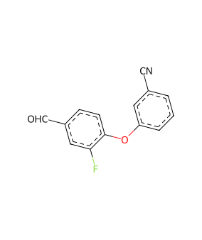 N#Cc1cccc(Oc2ccc(C=O)cc2F)c1